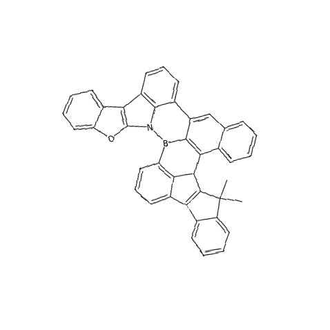 CC1(C)C2=C(c3ccccc31)c1cccc3c1C2c1c2c(cc4ccccc14)-c1cccc4c5c6ccccc6oc5n(c14)B32